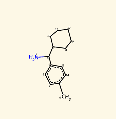 Cc1ccc(C(N)C2CCCCC2)cc1